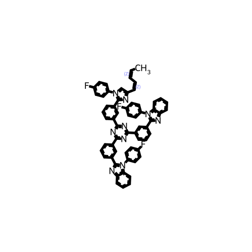 C/C=C\C=C/c1cn(-c2ccc(F)cc2)c(-c2cccc(-c3nc(-c4cccc(-c5nc6ccccc6n5-c5ccc(F)cc5)c4)nc(-c4cccc(-c5nc6ccccc6n5-c5ccc(F)cc5)c4)n3)c2)n1